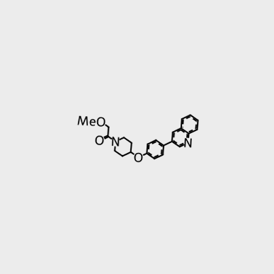 COCC(=O)N1CCC(Oc2ccc(-c3cnc4ccccc4c3)cc2)CC1